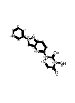 O=c1cnn(-c2ccc3nn(-c4cccnc4)cc3n2)c(=O)n1S